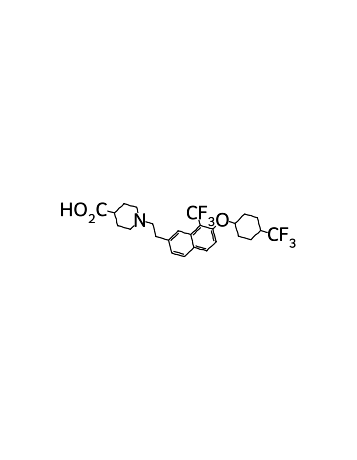 O=C(O)C1CCN(CCc2ccc3ccc(OC4CCC(C(F)(F)F)CC4)c(C(F)(F)F)c3c2)CC1